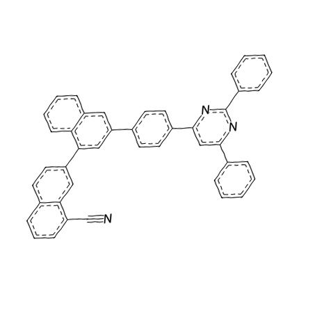 N#Cc1cccc2ccc(-c3cc(-c4ccc(-c5cc(-c6ccccc6)nc(-c6ccccc6)n5)cc4)cc4ccccc34)cc12